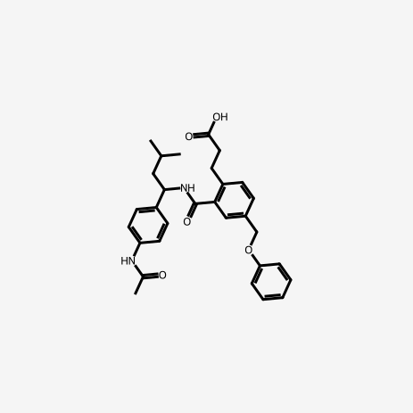 CC(=O)Nc1ccc(C(CC(C)C)NC(=O)c2cc(COc3ccccc3)ccc2CCC(=O)O)cc1